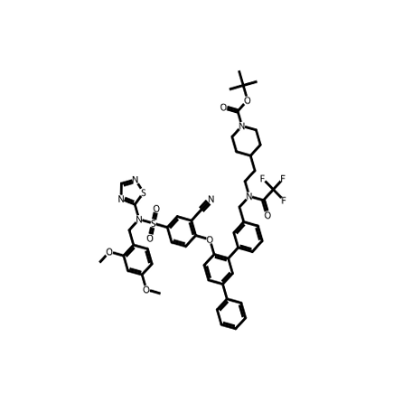 COc1ccc(CN(c2ncns2)S(=O)(=O)c2ccc(Oc3ccc(-c4ccccc4)cc3-c3cccc(CN(CCC4CCN(C(=O)OC(C)(C)C)CC4)C(=O)C(F)(F)F)c3)c(C#N)c2)c(OC)c1